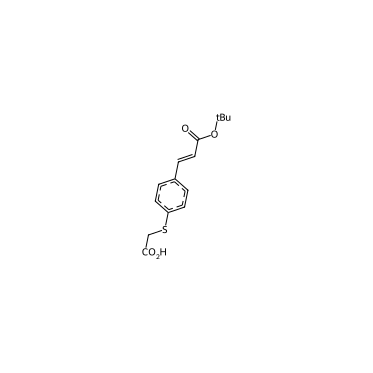 CC(C)(C)OC(=O)/C=C/c1ccc(SCC(=O)O)cc1